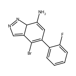 NC1=CC(c2ccccc2F)=C(Br)C2=CN=NC12